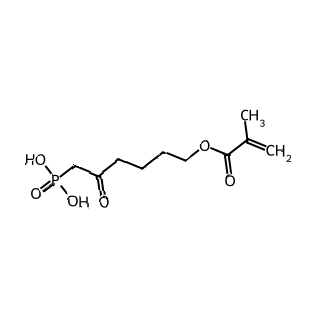 C=C(C)C(=O)OCCCCC(=O)CP(=O)(O)O